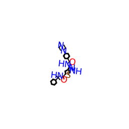 CN1CCN(c2ccc(C(=O)Nc3n[nH]c4sc(C(=O)NC(C)(C)c5ccccc5)cc34)cc2)CC1